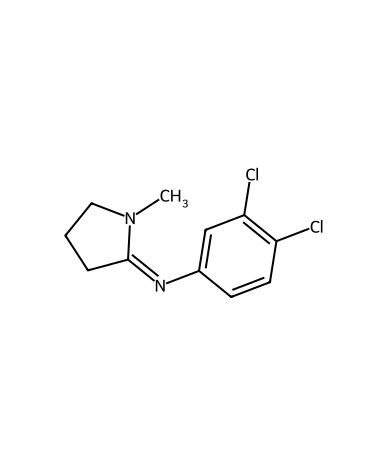 CN1CCCC1=Nc1ccc(Cl)c(Cl)c1